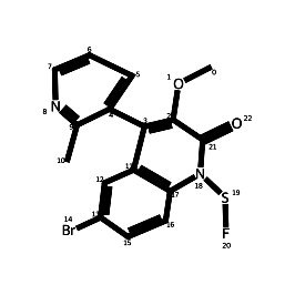 COc1c(-c2cccnc2C)c2cc(Br)ccc2n(SF)c1=O